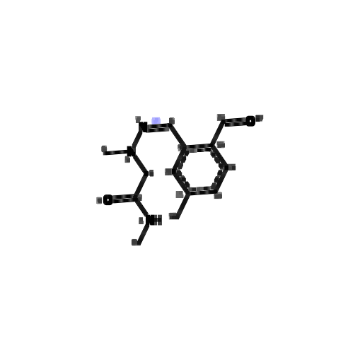 CNC(=O)CN(C)/N=C\c1cc(C)ccc1C=O